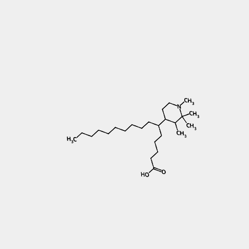 CCCCCCCCCCC(CCCCC(=O)O)C1CCN(C)C(C)(C)C1C